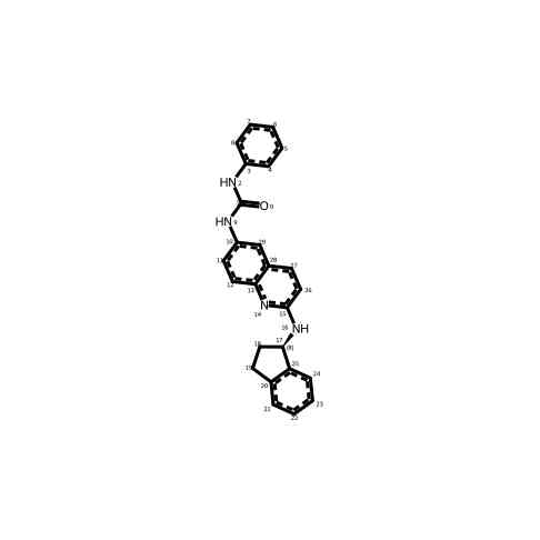 O=C(Nc1ccccc1)Nc1ccc2nc(N[C@@H]3CCc4ccccc43)ccc2c1